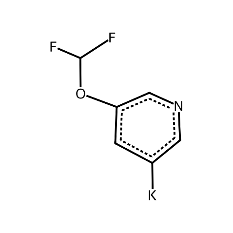 FC(F)Oc1cnc[c]([K])c1